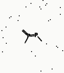 C=P(C)=PC